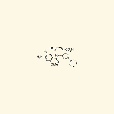 COc1cc(N)c(Cl)cc1C(=O)NC1CCN(C2CCCCC2)C1.O=C(O)C=CC(=O)O